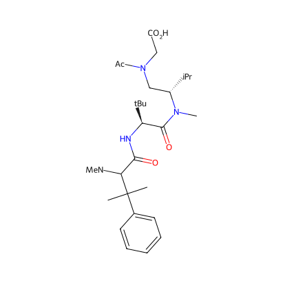 CNC(C(=O)N[C@H](C(=O)N(C)[C@H](CN(CC(=O)O)C(C)=O)C(C)C)C(C)(C)C)C(C)(C)c1ccccc1